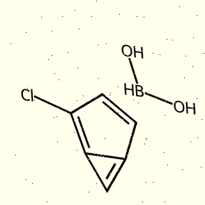 Clc1ccc2cc1-2.OBO